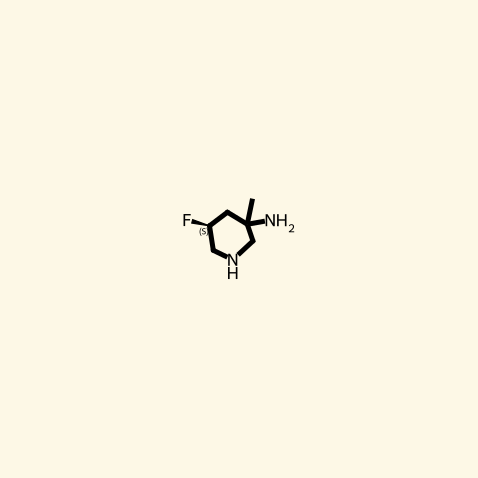 CC1(N)CNC[C@@H](F)C1